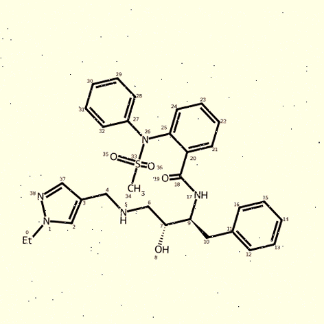 CCn1cc(CNC[C@@H](O)[C@H](Cc2ccccc2)NC(=O)c2ccccc2N(c2ccccc2)S(C)(=O)=O)cn1